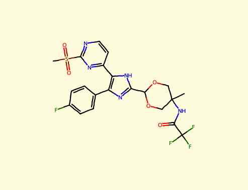 CC1(NC(=O)C(F)(F)F)COC(c2nc(-c3ccc(F)cc3)c(-c3ccnc(S(C)(=O)=O)n3)[nH]2)OC1